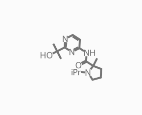 CC(C)N1CCCC1(C)C(=O)Nc1ccnc(C(C)(C)O)n1